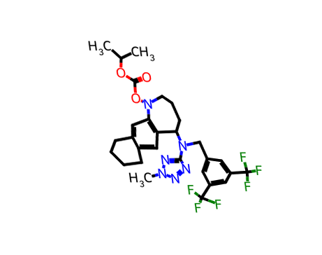 CC(C)OC(=O)ON1CCCC(N(Cc2cc(C(F)(F)F)cc(C(F)(F)F)c2)c2nnn(C)n2)c2cc3c(cc21)CCCC3